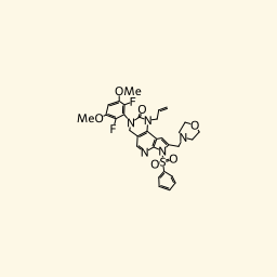 C=CCN1C(=O)N(c2c(F)c(OC)cc(OC)c2F)Cc2cnc3c(cc(CN4CCOCC4)n3S(=O)(=O)c3ccccc3)c21